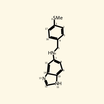 CSc1ccc(CNc2ccc3[nH]cnc3c2)cc1